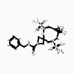 CS(=O)(=O)N1CC2(CN(C(=O)OCc3ccccc3)C2)CN(S(C)(=O)=O)C[C]23[Co]4[Co]2[C]43C1